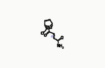 NC(=O)/C=C/C(=O)n1c2ccc1c(Cl)c2